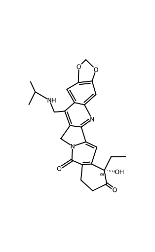 CC[C@@]1(O)C(=O)CCc2c1cc1n(c2=O)Cc2c-1nc1cc3c(cc1c2CNC(C)C)OCO3